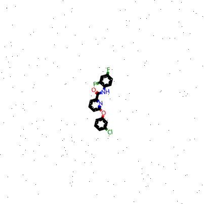 O=C(Nc1ccc(F)cc1F)c1cccc(Oc2cccc(Cl)c2)n1